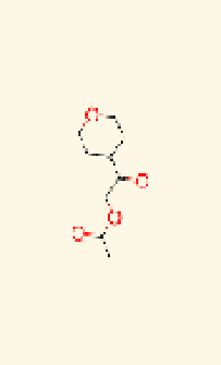 CC(=O)OCC(=O)C1CCOCC1